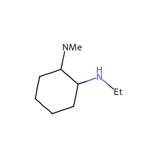 CCNC1CCCCC1NC